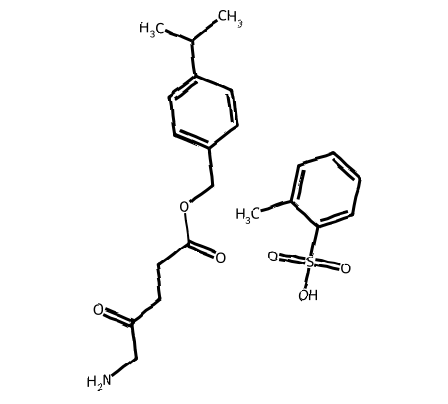 CC(C)c1ccc(COC(=O)CCC(=O)CN)cc1.Cc1ccccc1S(=O)(=O)O